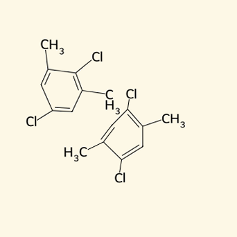 Cc1cc(Cl)c(C)cc1Cl.Cc1cc(Cl)cc(C)c1Cl